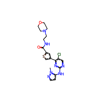 Cn1nccc1Nc1ncc(Cl)c(-c2csc(C(=O)NCCN3CCOCC3)c2)n1